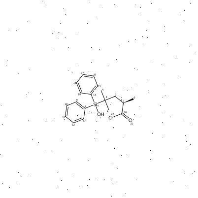 C[C@H](CC(C)(C)[Si](O)(c1ccccc1)c1ccccc1)C(=O)Cl